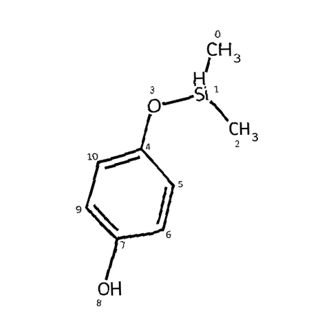 C[SiH](C)Oc1ccc(O)cc1